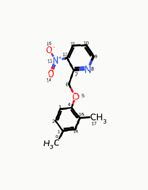 Cc1ccc(OCc2ncccc2[N+](=O)[O-])c(C)c1